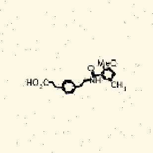 COc1ccc(C)cc1C(=O)NCCc1ccc(CCC(=O)O)cc1